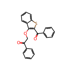 O=C(COc1c(C(=O)c2ccccc2)sc2ccccc12)c1ccccc1